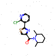 CC1CCCC(C)N1C(=O)c1csc(-c2cccnc2Cl)n1